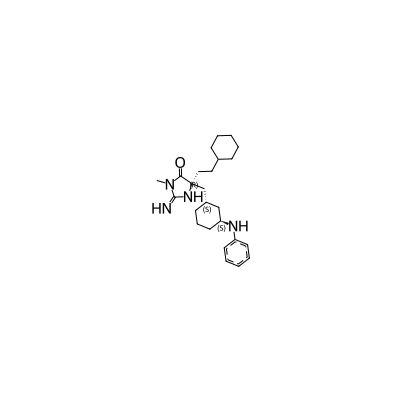 CN1C(=N)N[C@](CCC2CCCCC2)(C[C@H]2CCC[C@H](Nc3ccccc3)C2)C1=O